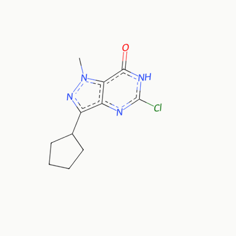 Cn1nc(C2CCCC2)c2nc(Cl)[nH]c(=O)c21